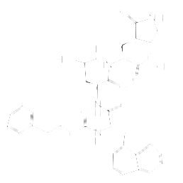 COC(=O)[C@H](C[C@@H]1CCNC1=O)NC(=O)[C@H](CC(C)C)NC(=O)[C@H](Cc1cccc2ccccc12)NC(=O)OCCc1ccccc1